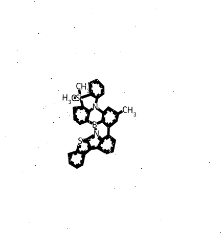 Cc1cc2c3c(c1)N1c4ccccc4[Si](C)(C)c4cccc(c41)B3n1c3sc4ccccc4c3c3cccc-2c31